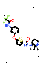 C[C@H]1[C@H](NC(=O)c2ccc(Oc3cccc(NC(=O)C(F)(F)F)c3)s2)C2CCN1CC2